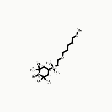 CCCCOCCCCCOCC[N+](C)(C)C1CC(C)(C)N(Br)C(C)(C)C1